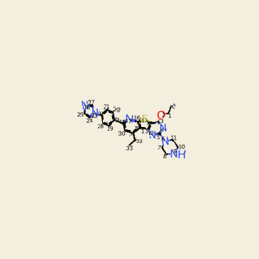 CCOc1nc(N2CCNCC2)nc2c1sc1nc(-c3ccc(-n4ccnc4)cc3)cc(CC)c12